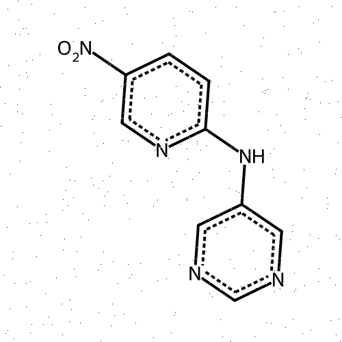 O=[N+]([O-])c1ccc(Nc2cncnc2)nc1